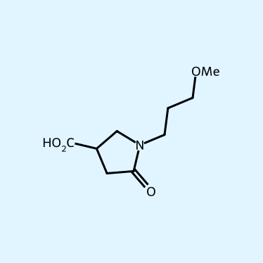 COCCCN1CC(C(=O)O)CC1=O